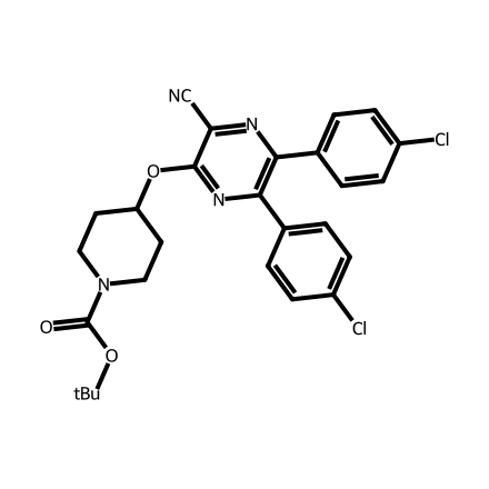 CC(C)(C)OC(=O)N1CCC(Oc2nc(-c3ccc(Cl)cc3)c(-c3ccc(Cl)cc3)nc2C#N)CC1